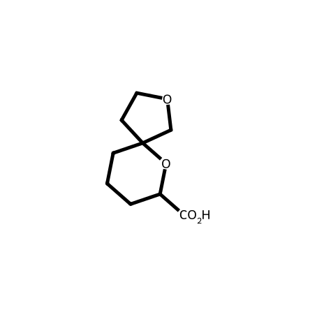 O=C(O)C1CCCC2(CCOC2)O1